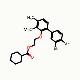 CCc1cc(-c2ccc(C)c(OC)c2OCCOC(=O)C2CCCCC2)ccc1C(C)=O